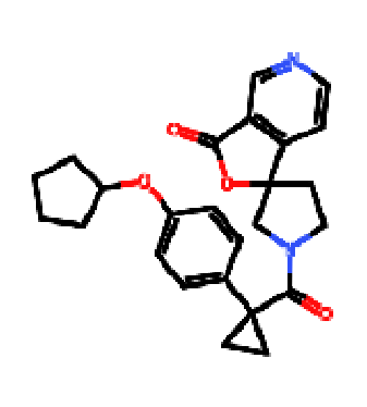 O=C1OC2(CCN(C(=O)C3(c4ccc(OC5CCCC5)cc4)CC3)C2)c2ccncc21